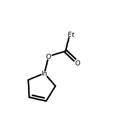 CCC(=O)[O][In]1[CH2]C=C[CH2]1